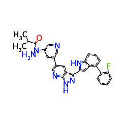 CC(C)C(=O)N(N)c1cncc(-c2cnc3[nH]nc(-c4cc5c(-c6ccccc6F)cccc5[nH]4)c3c2)c1